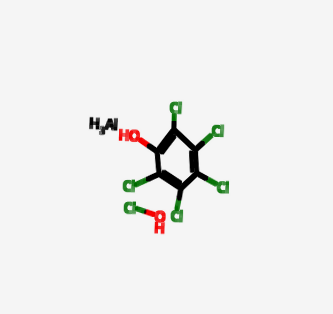 OCl.Oc1c(Cl)c(Cl)c(Cl)c(Cl)c1Cl.[AlH3]